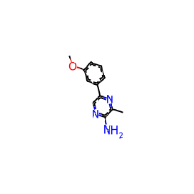 COc1cccc(-c2cnc(N)c(C)n2)c1